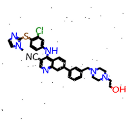 Cn1ccnc1Sc1ccc(Nc2c(C#N)cnc3cc(-c4cccc(CN5CCN(CCO)CC5)c4)ccc23)cc1Cl